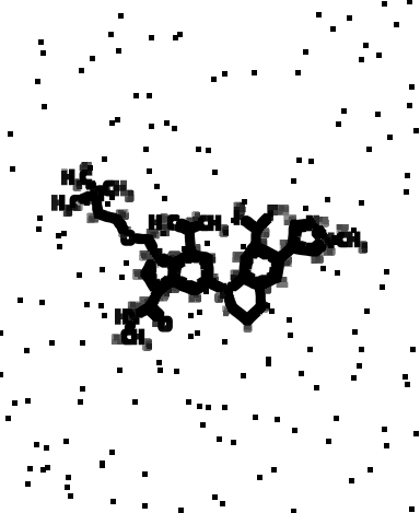 C=C(C)c1cc(N2CCCc3cc(-c4cnn(C)c4)c(C(F)F)cc32)cc2c(C(=O)NC)cn(COCC[Si](C)(C)C)c12